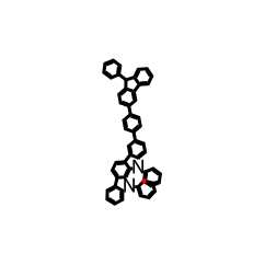 c1ccc(C2c3ccccc3-c3cc(-c4ccc(-c5ccc6c(c5)c5ccc7c8ccccc8n(-c8ccccc8)c7c5n6-c5ccccc5)cc4)ccc32)cc1